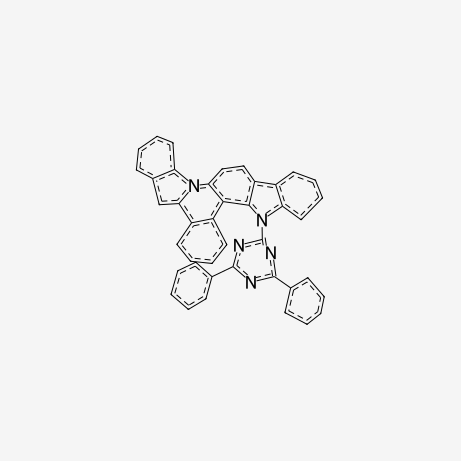 c1ccc(-c2nc(-c3ccccc3)nc(-n3c4ccccc4c4ccc5c(c6ccccc6c6cc7ccccc7n65)c43)n2)cc1